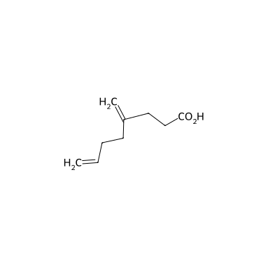 C=CCCC(=C)CCC(=O)O